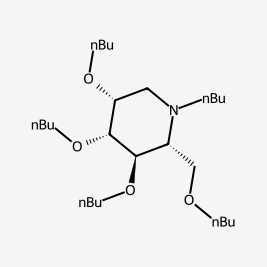 CCCCOC[C@@H]1[C@@H](OCCCC)[C@H](OCCCC)[C@H](OCCCC)CN1CCCC